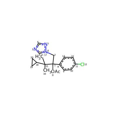 CC(=O)OC(Cn1cncn1)(c1ccc(Cl)cc1)C(C)(C)C1CC1